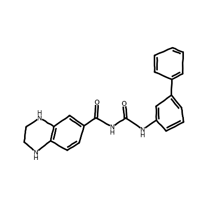 O=C(NC(=O)c1ccc2c(c1)NCCN2)Nc1cccc(-c2ccccc2)c1